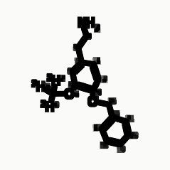 [2H]C([2H])([2H])Oc1cc(CCN)ccc1OCc1ccccc1